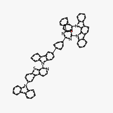 c1ccc(-c2nc(-c3ccc(-c4ccc5c(c4)c4ccccc4n5-c4nccc5c4sc4ccc(-n6c7ccccc7c7ccccc76)cc45)cc3)nc(-n3c4ccccc4c4ccc5c6ccccc6n(-c6ccccc6)c5c43)n2)cc1